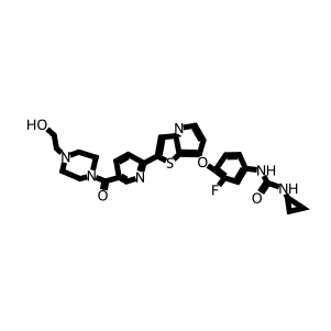 O=C(Nc1ccc(Oc2ccnc3cc(-c4ccc(C(=O)N5CCN(CCO)CC5)cn4)sc23)c(F)c1)NC1CC1